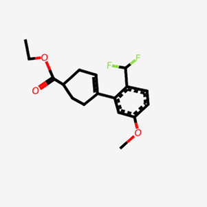 CCOC(=O)C1CC=C(c2cc(OC)ccc2C(F)F)CC1